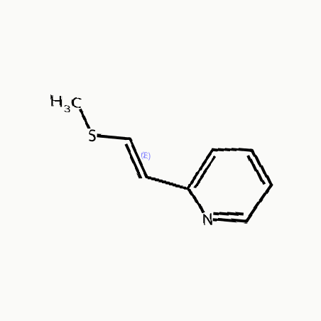 CS/C=C/c1ccccn1